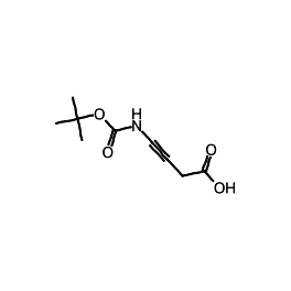 CC(C)(C)OC(=O)NC#CCC(=O)O